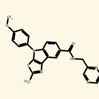 Cc1nc2c3cc(C(=O)NCc4cnccn4)ccc3n(-c3ccc(OC(F)(F)F)cc3)c2s1